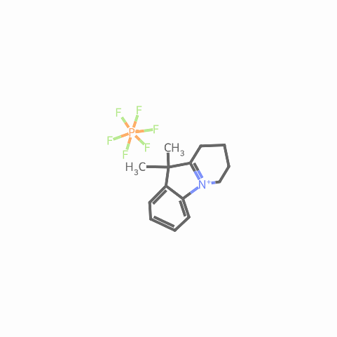 CC1(C)C2=[N+](CCCC2)c2ccccc21.F[P-](F)(F)(F)(F)F